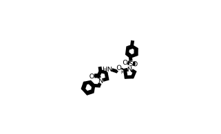 Cc1ccc(S(=O)(=O)N2CCC[C@H]2OCNC2CN(Cc3ccccc3)C(=O)C2C)cc1